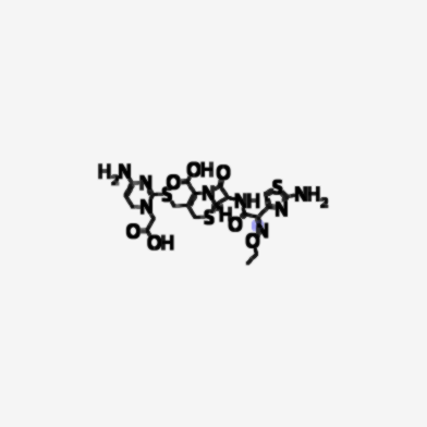 CCO/N=C(\C(=O)NC1C(=O)N2C(C(=O)O)=C(CSC3=NC(N)=CCN3CC(=O)O)CS[C@@H]12)c1csc(N)n1